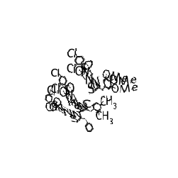 COc1cc(Cc2csc(N3CCN(S(=O)(=O)c4ccc(Cl)cc4Cl)CC3)n2)cc(OC)c1OC.Cc1cc(C)c(Cc2csc(N3CCN(S(=O)(=O)c4ccc(Cl)cc4Cl)CC3)n2)c(C)c1.O=S(=O)(c1cc(Cl)ccc1Cl)N1CCN(c2nc(Cc3ccccc3)cs2)CC1